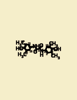 Cc1cc(NC(=O)C(=O)Nc2cc(C)c(O)c(C)c2)cc(C)c1O